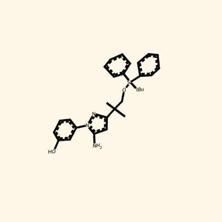 CC(C)(CO[Si](c1ccccc1)(c1ccccc1)C(C)(C)C)c1cc(N)n(-c2cccc(O)c2)n1